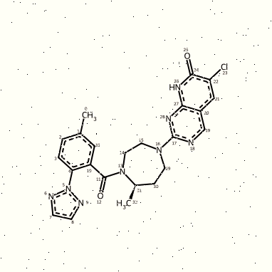 Cc1ccc(-n2nccn2)c(C(=O)N2CCN(c3ncc4cc(Cl)c(=O)[nH]c4n3)CC[C@H]2C)c1